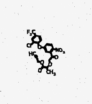 C#CCOC(=O)C(C)OCC(=O)c1cc(Oc2ccc(C(F)(F)F)cc2Cl)ccc1[N+](=O)[O-]